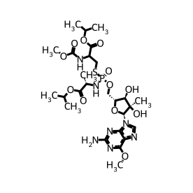 COC(=O)NC(CSP(=O)(N[C@@H](C)C(=O)OC(C)C)OC[C@H]1O[C@@H](n2cnc3c(OC)nc(N)nc32)[C@](C)(O)[C@@H]1O)C(=O)OC(C)C